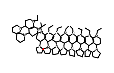 CCN1CCC(N2CCCC2)C2=C1N(CC)C1=C(C2N2CCCC2)C(N2CCCC2)C2=C(N1CC)N(CC)C1=C(C2N2CCCC2)C(N2CCCC2)C2=C(N1CC)N(CC)C1=C(C(N3CCCC3)C3=C(N1CC)N(CC)C1(CC3N3CCCC3)CC3C4=C(N(CC)CCC4N4CCCC5=C4N3CCC5)N1CC)C2N1CCCC1